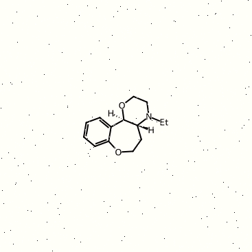 CCN1CCO[C@@H]2c3ccccc3OCC[C@H]21